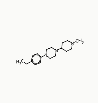 CCc1ccc(N2CCN(C3CCN(C)CC3)CC2)cc1